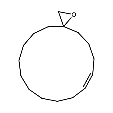 C1=CCCCC2(CCCCCCCCC1)CO2